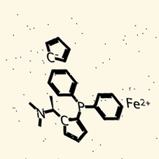 C[C@@H]([c-]1cccc1P(c1ccccc1)c1ccccc1)N(C)C.[Fe+2].c1cc[cH-]c1